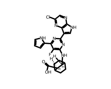 O=C(O)[C@@H]1C2CCC(CC2)[C@H]1Nc1nc(-c2c[nH]c3ncc(Cl)nc23)nc(-c2ccc[nH]2)c1F